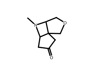 CN1C2COCC23CC(=O)CC13